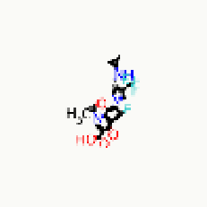 C[C@H]1COc2c(N3C[C@H](CNC4CC4)[C@@H](C(F)(F)F)C3)c(F)cc3c(=O)c(C(=O)O)cn1c23